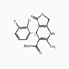 CCc1c(F)cccc1[C@H]1C(C(=O)OC)=C(C)NC2=C1C(=O)OC2